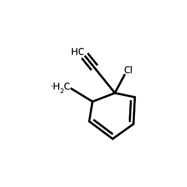 C#CC1(Cl)C=CC=CC1[CH2]